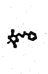 C[C@@H]1OC(=O)[C@@H](CCSc2ccccc2)OC1=O